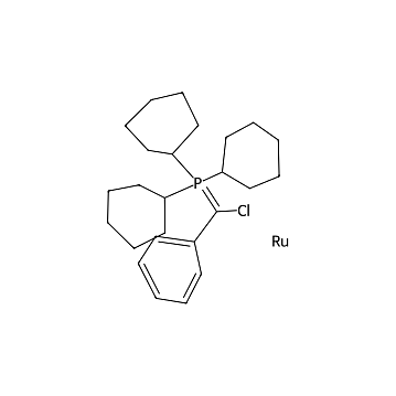 ClC(c1ccccc1)=P(C1CCCCC1)(C1CCCCC1)C1CCCCC1.[Ru]